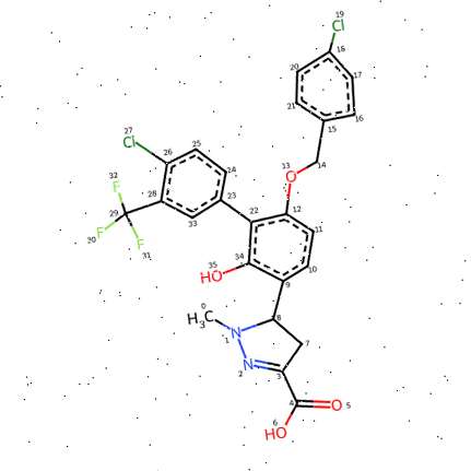 CN1N=C(C(=O)O)CC1c1ccc(OCc2ccc(Cl)cc2)c(-c2ccc(Cl)c(C(F)(F)F)c2)c1O